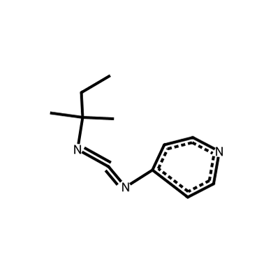 CCC(C)(C)N=C=Nc1ccncc1